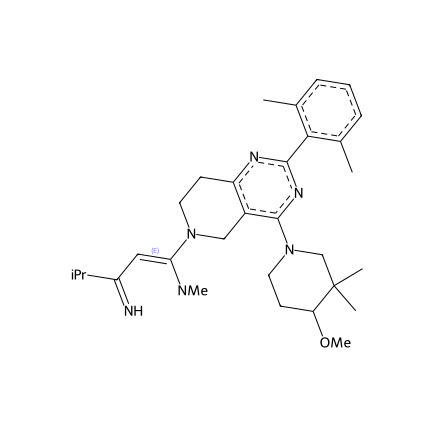 CN/C(=C\C(=N)C(C)C)N1CCc2nc(-c3c(C)cccc3C)nc(N3CCC(OC)C(C)(C)C3)c2C1